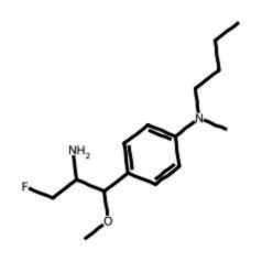 CCCCN(C)c1ccc(C(OC)C(N)CF)cc1